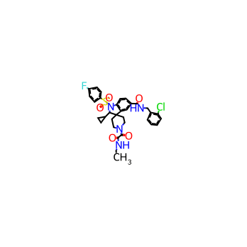 CCNC(=O)C(=O)N1CCC2(CC1)c1cc(C(=O)NCc3ccccc3Cl)ccc1N(S(=O)(=O)c1ccc(F)cc1)C2C1CC1